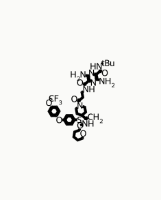 C=C(NOC1CCCCO1)C1(Sc2ccc(Oc3ccc(OC(F)(F)F)cc3)cc2)CCN(C(=O)CCNC(=O)c2nc(N)c(C(=O)NC(C)(C)C)nc2N)CC1